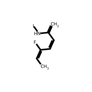 C=C(/C=C\C(F)=C/C)NI